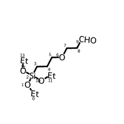 CCO[Si](CCCOCCC=O)(OCC)OCC